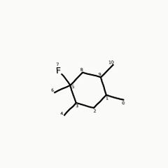 CC1CC(C)C(C)(F)CC1C